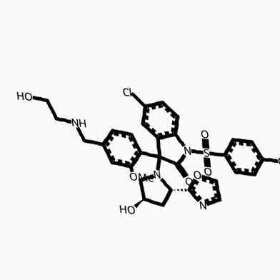 COc1cc(CNCCO)ccc1C1(N2C[C@H](O)C[C@H]2c2ncco2)C(=O)N(S(=O)(=O)c2ccc(C#N)cc2)c2ccc(Cl)cc21